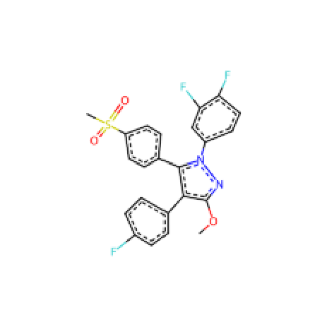 COc1nn(-c2ccc(F)c(F)c2)c(-c2ccc(S(C)(=O)=O)cc2)c1-c1ccc(F)cc1